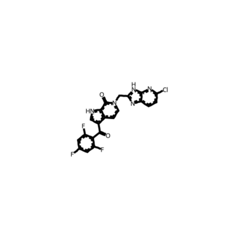 O=C(c1c(F)cc(F)cc1F)c1c[nH]c2c(=O)n(Cc3nc4ccc(Cl)nc4[nH]3)ccc12